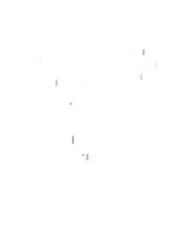 Cc1nc(N2CCC(N3CCc4ccccc4NC3=O)CC2)sc1C(=O)N1CCC(C(C)(C)O)CC1